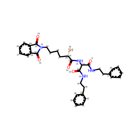 O=C(NCCc1ccccc1)C(NC(=O)[C@@H](S)CCCCN1C(=O)c2ccccc2C1=O)C(=O)NCCc1ccccc1